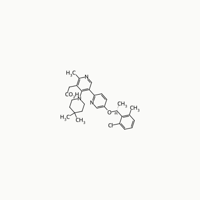 Cc1cccc(Cl)c1[C@@H](C)Oc1ccc(-c2cnc(C)c(CC(=O)O)c2N2CCC(C)(C)CC2)nc1